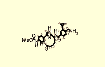 COC(=O)Nc1ccc2c(c1)NC(=O)CCCC[C@H](NC(=O)c1ccc(CN)c(C3CC3)c1)c1nc-2c[nH]1